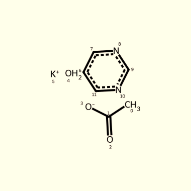 CC(=O)[O-].O.[K+].c1cncnc1